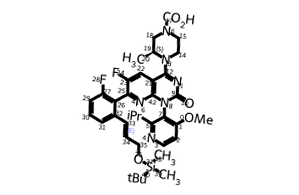 COc1ccnc(C(C)C)c1-n1c(=O)nc(N2CCN(C(=O)O)C[C@@H]2C)c2cc(F)c(-c3c(F)cccc3/C=C/CO[Si](C)(C)C(C)(C)C)nc21